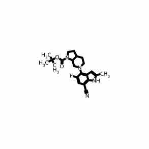 Cc1cc2c(N3CCC4CCN(C(=O)OC(C)(C)C)C4C3)c(F)cc(C#N)c2[nH]1